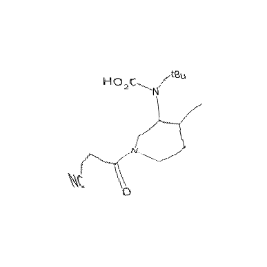 CC1CCN(C(=O)CC#N)CC1N(C(=O)O)C(C)(C)C